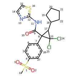 CS(=O)(=O)c1ccc(C2(C(=O)Nc3nccs3)C(C3CCCC3)C2(Cl)Cl)cc1